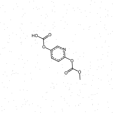 COC(=O)Oc1ccc(OC(=O)O)cn1